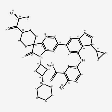 CNC(=O)c1cc(Nc2nc(-c3cnc4c(c3)N([C@H]3C[C@@H](N5CCCCC5)C3)C(=O)C43CCC(C(=O)[C@@H](C)O)CC3)cc3ncn(C4CC4)c23)ccc1C